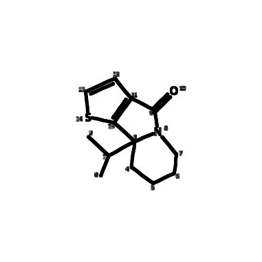 CC(C)C12CCCCN1C(=O)c1ccsc12